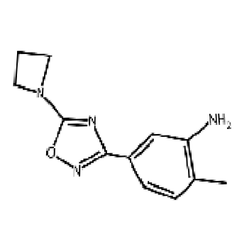 Cc1ccc(-c2noc(N3CCC3)n2)cc1N